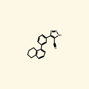 N#Cc1[nH]nnc1-c1cccc(-c2cccc3c2CCCC3)c1